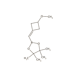 COC1CC(=CB2OC(C)(C)C(C)(C)O2)C1